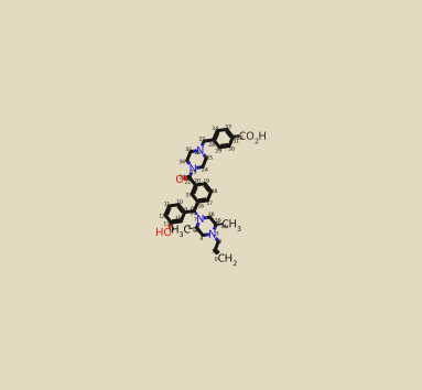 C=CCN1C[C@H](C)N([C@@H](c2cccc(O)c2)c2cccc(C(=O)N3CCN(Cc4ccc(C(=O)O)cc4)CC3)c2)C[C@H]1C